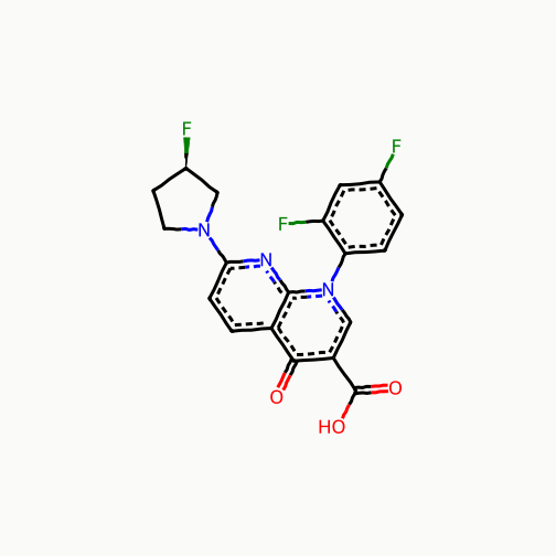 O=C(O)c1cn(-c2ccc(F)cc2F)c2nc(N3CC[C@@H](F)C3)ccc2c1=O